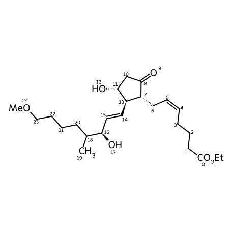 CCOC(=O)CCC/C=C\C[C@H]1C(=O)C[C@@H](O)[C@@H]1/C=C/[C@@H](O)C(C)CCCCOC